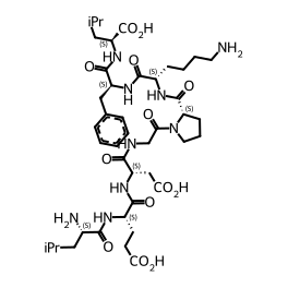 CC(C)C[C@H](NC(=O)[C@H](Cc1ccccc1)NC(=O)[C@H](CCCCN)NC(=O)[C@@H]1CCCN1C(=O)CNC(=O)[C@H](CC(=O)O)NC(=O)[C@H](CCC(=O)O)NC(=O)[C@@H](N)CC(C)C)C(=O)O